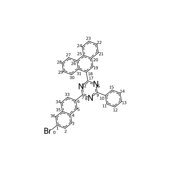 Brc1ccc2cc(-c3nc(-c4ccccc4)nc(-c4cc5ccccc5c5ccccc45)n3)ccc2c1